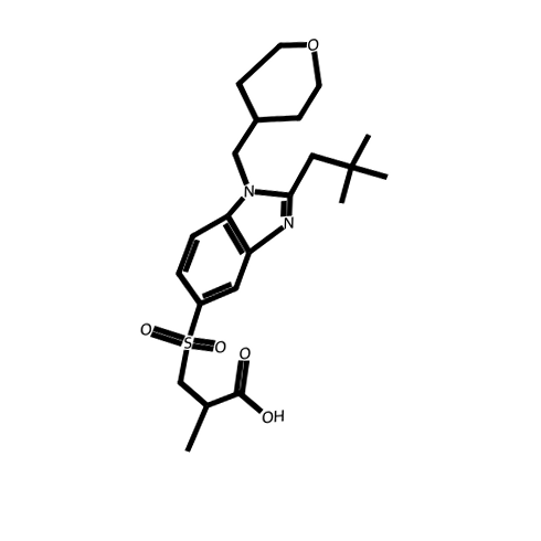 CC(CS(=O)(=O)c1ccc2c(c1)nc(CC(C)(C)C)n2CC1CCOCC1)C(=O)O